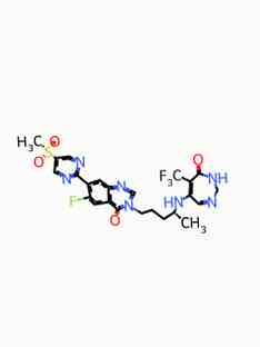 C[C@@H](CCCn1cnc2cc(-c3ncc(S(C)(=O)=O)cn3)c(F)cc2c1=O)NC1=C(C(F)(F)F)C(=O)NCN=C1